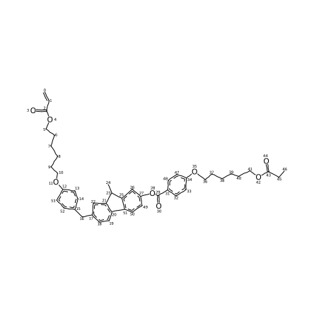 C=CC(=O)OCCCCCCOc1ccc(Cc2ccc3c(c2)C(C)c2cc(OC(=O)c4ccc(OCCCCCCOC(=O)CC)cc4)ccc2-3)cc1